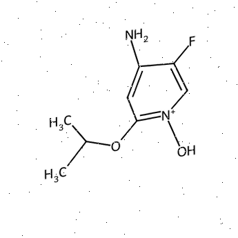 CC(C)Oc1cc(N)c(F)c[n+]1O